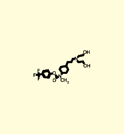 CN(C(=O)Oc1ccc(C(F)(F)F)cc1)C1CCC(CCCN(CCO)CCO)CC1